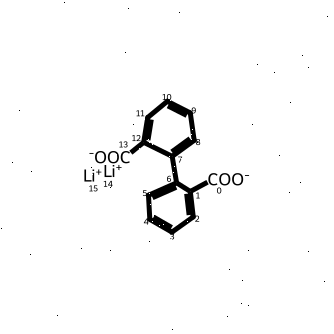 O=C([O-])c1ccccc1-c1ccccc1C(=O)[O-].[Li+].[Li+]